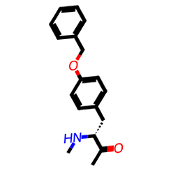 CN[C@H](Cc1ccc(OCc2ccccc2)cc1)C(C)=O